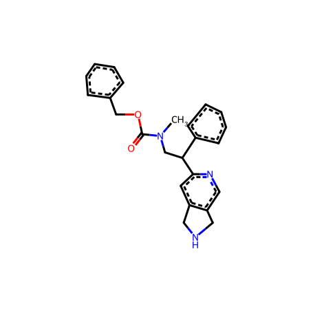 CN(CC(c1ccccc1)c1cc2c(cn1)CNC2)C(=O)OCc1ccccc1